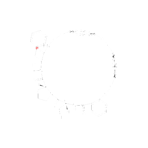 CC(C)C[C@H]1NC(=O)c2ccccc2OCc2ccc(cc2)COc2ccc(cc2)CCNC(=O)[C@H](Cc2ccccc2)N(C)C(=O)[C@H]2CCCN2C1=O